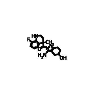 CC1(C(=O)n2nc3c(c2N)CC(O)CC3)CCNc2c(F)cccc21